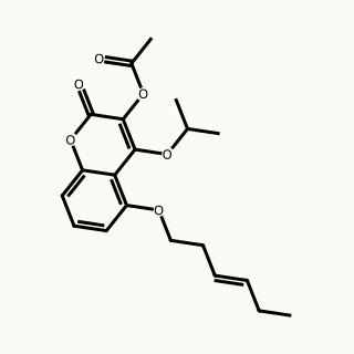 CCC=CCCOc1cccc2oc(=O)c(OC(C)=O)c(OC(C)C)c12